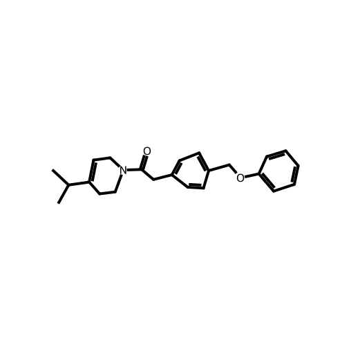 CC(C)C1=CCN(C(=O)Cc2ccc(COc3ccccc3)cc2)CC1